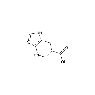 O=C(O)C1CNc2nc[nH]c2C1